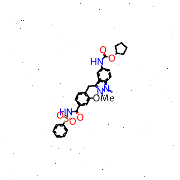 COc1cc(C(=O)NS(=O)(=O)c2ccccc2)ccc1Cc1nn(C)c2ccc(NC(=O)OC3CCCC3)cc12